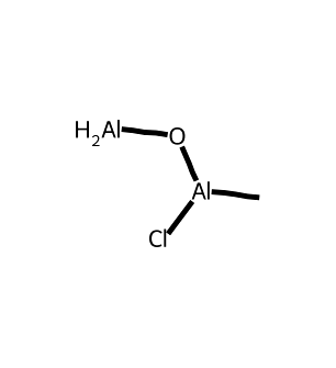 [CH3][Al]([Cl])[O][AlH2]